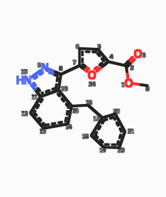 COC(=O)c1ccc(-c2n[nH]c3cccc(Cc4ccccc4)c23)o1